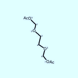 CC(=O)OCOCCOCOC(C)=O